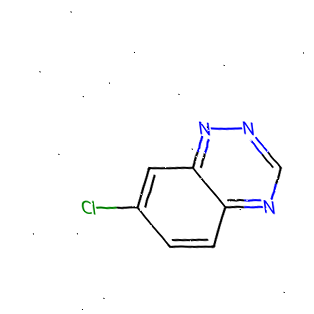 Clc1ccc2ncnnc2c1